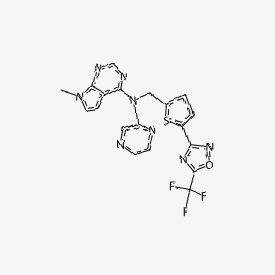 Cn1ccc2c(N(Cc3ccc(-c4noc(C(F)(F)F)n4)s3)c3cnccn3)ncnc21